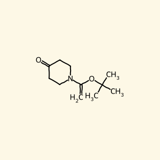 C=C(OC(C)(C)C)N1CCC(=O)CC1